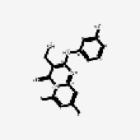 Cc1cc(C)n2c(=O)c(CO)c(Nc3cccc(Cl)c3)nc2c1